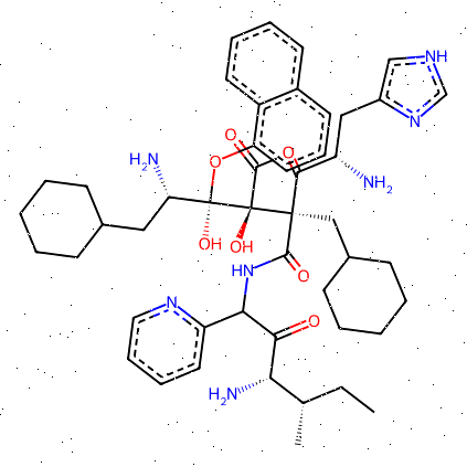 CC[C@H](C)[C@H](N)C(=O)C(NC(=O)[C@](CC1CCCCC1)(C(=O)[C@@H](N)Cc1c[nH]cn1)[C@@](O)(C(C)=O)[C@](O)(Oc1cccc2ccccc12)[C@@H](N)CC1CCCCC1)c1ccccn1